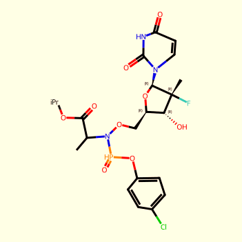 CC(C)OC(=O)C(C)N(OC[C@H]1O[C@@H](n2ccc(=O)[nH]c2=O)[C@](C)(F)[C@@H]1O)[PH](=O)Oc1ccc(Cl)cc1